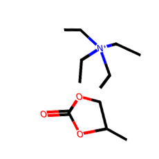 CC1COC(=O)O1.CC[N+](CC)(CC)CC